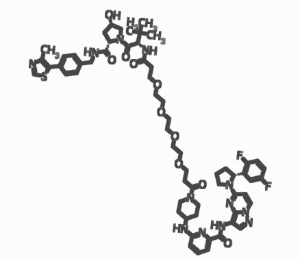 Cc1ncsc1-c1ccc(CNC(=O)[C@@H]2C[C@@H](O)CN2C(=O)[C@@H](NC(=O)CCOCCOCCOCCOCCC(=O)N2CCC(Nc3cccc(C(=O)Nc4cnn5ccc(N6CCC[C@@H]6c6cc(F)ccc6F)nc45)n3)CC2)C(C)(C)C)cc1